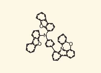 c1ccc2c(c1)Oc1cccc3c4cccc(-c5ccc(N(c6cccc7c6oc6ccccc67)c6cccc7c6oc6ccccc67)cc5)c4n-2c13